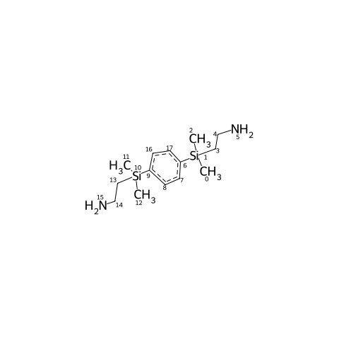 C[Si](C)(CCN)c1ccc([Si](C)(C)CCN)cc1